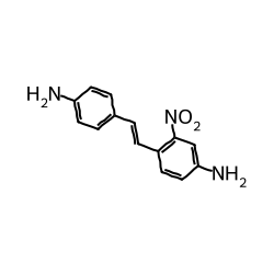 Nc1ccc(/C=C/c2ccc(N)cc2[N+](=O)[O-])cc1